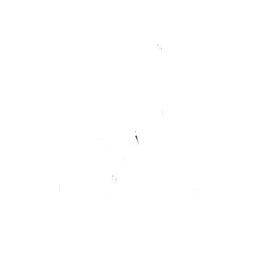 CCOC(=O)C[C@@H]1NC(=O)[C@@H](n2cc(CCN3CC(F)C3)cc(CC)c2=O)c2cc(ccc2F)Oc2cccc(C)c2-c2cc(C)c(F)c1c2